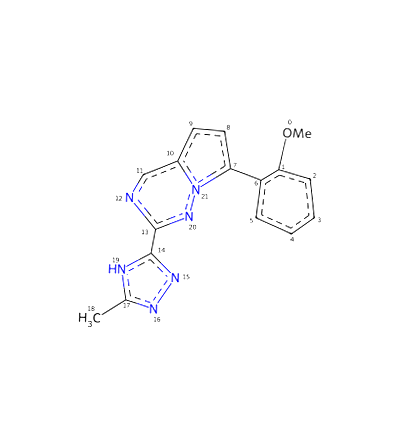 COc1ccccc1-c1ccc2cnc(-c3nnc(C)[nH]3)nn12